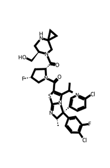 CC(C)C1=C(C(=O)N2C[C@H](F)C[C@@H]2C(=O)N2CC3(CC3)NC[C@@H]2CO)SC2=N[C@@H](C)[C@](c3ccc(Cl)nc3)(c3ccc(Cl)c(F)c3)N21